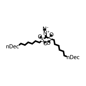 CCCCCCCCCCCCCCCCS(=O)(=O)C(=[N+]=[N-])S(=O)(=O)CCCCCCCCCCCCCCCC